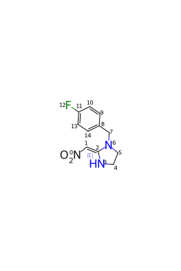 O=[N+]([O-])/C=C1\NCCN1Cc1ccc(F)cc1